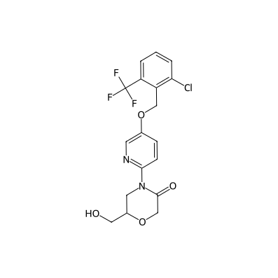 O=C1COC(CO)CN1c1ccc(OCc2c(Cl)cccc2C(F)(F)F)cn1